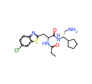 CCC(=O)NC(Cc1nc2ccc(Cl)cc2s1)C(=O)N[C@H](CN)C1CCCC1